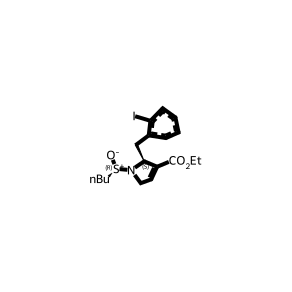 CCCC[S@+]([O-])N1CC=C(C(=O)OCC)[C@@H]1Cc1ccccc1I